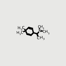 CC(C1C=CC(C)(C)C=C1)N(C)C